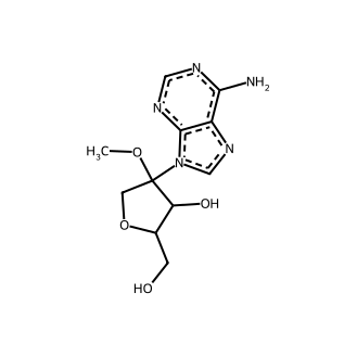 COC1(n2cnc3c(N)ncnc32)COC(CO)C1O